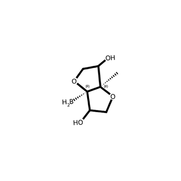 B[C@]12OCC(O)[C@@]1(C)OCC2O